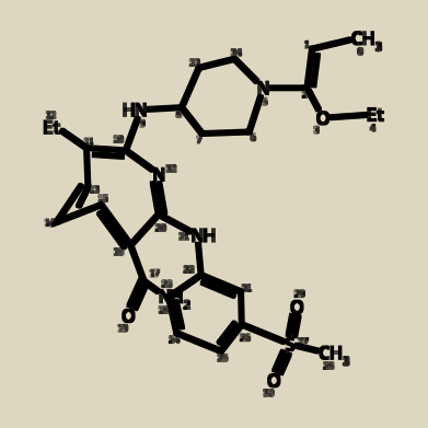 CC=C(OCC)N1CCC(NC2=C(CC)/C=C/C=C(C(N)=O)/C(Nc3cccc(S(C)(=O)=O)c3)=N\2)CC1